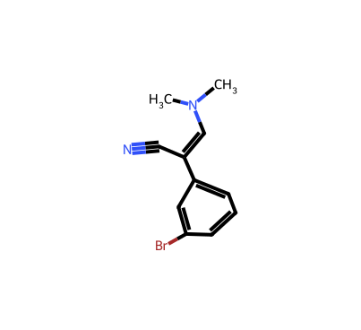 CN(C)C=C(C#N)c1cccc(Br)c1